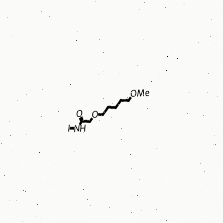 COCCCCCOCC(=O)NI